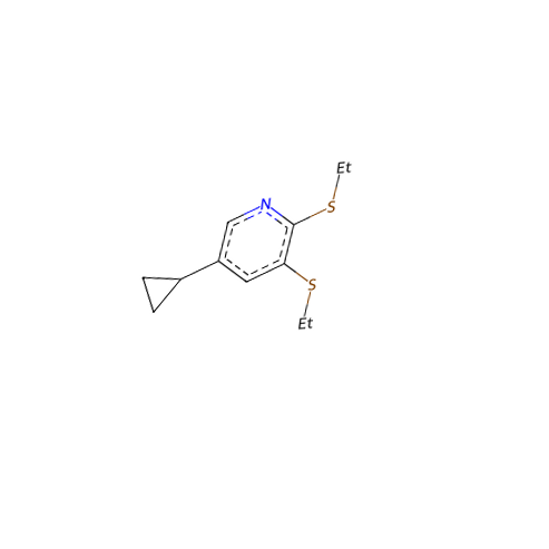 CCSc1cc(C2CC2)cnc1SCC